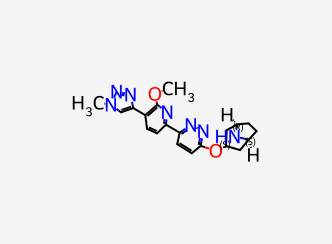 COc1nc(-c2ccc(O[C@@H]3C[C@H]4CC[C@@H](C3)N4)nn2)ccc1-c1cn(C)nn1